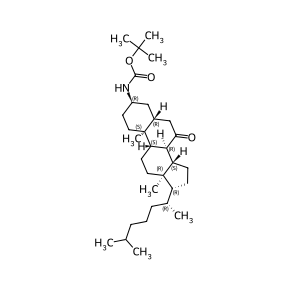 CC(C)CCC[C@@H](C)[C@H]1CC[C@H]2[C@@H]3C(=O)C[C@H]4C[C@H](NC(=O)OC(C)(C)C)CC[C@]4(C)[C@H]3CC[C@]12C